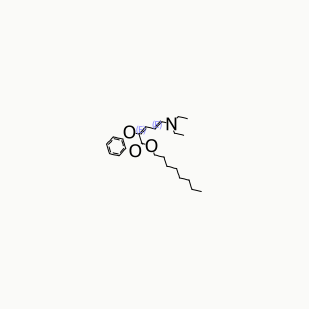 CCCCCCCCOC(=O)/C(=C\C=C\N(CC)CC)Oc1ccccc1